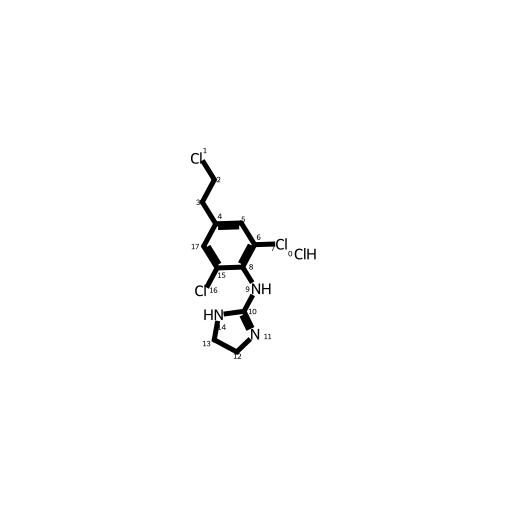 Cl.ClCCc1cc(Cl)c(NC2=NCCN2)c(Cl)c1